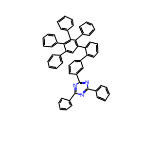 c1ccc(-c2nc(-c3ccccc3)nc(-c3cccc(-c4ccccc4-c4cc(-c5ccccc5)c(-c5ccccc5)c(-c5ccccc5)c4-c4ccccc4)c3)n2)cc1